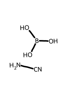 N#CN.OB(O)O